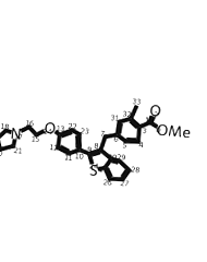 COC(=O)c1ccc(Cc2c(-c3ccc(OCCN4CCCC4)cc3)sc3ccccc23)cc1C